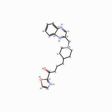 O=C(CCCC1CCN(Cc2cnc3ccccc3n2)CC1)c1ncco1